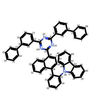 c1ccc(-c2cccc(-c3nc(-c4cccc(-c5ccccc5)c4)nc(-c4ccc(-c5ccccc5-n5c6ccccc6c6ccccc65)c5ccccc45)n3)c2)cc1